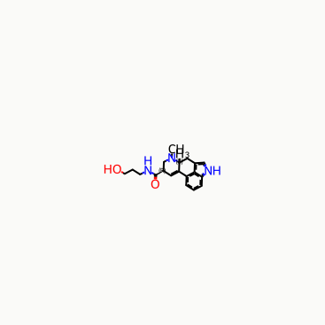 CN1C[C@H](C(=O)NCCCO)C=C2c3cccc4[nH]cc(c34)C[C@H]21